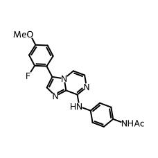 COc1ccc(-c2cnc3c(Nc4ccc(NC(C)=O)cc4)nccn23)c(F)c1